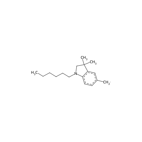 [CH2]c1ccc2c(c1)C(C)(C)CN2CCCCCC